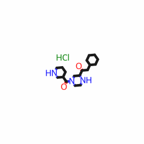 Cl.O=C(CC1CCCCC1)C1CN(C(=O)C2CCCNC2)CCN1